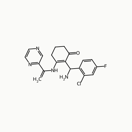 C=C(NC1=C(C(N)c2ccc(F)cc2Cl)C(=O)CCC1)c1cnccn1